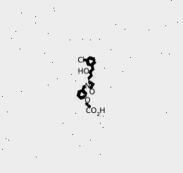 O=C(O)CCOc1cccc(CN2C(=O)C[C@@H]2CCC(O)Cc2cccc(Cl)c2)c1